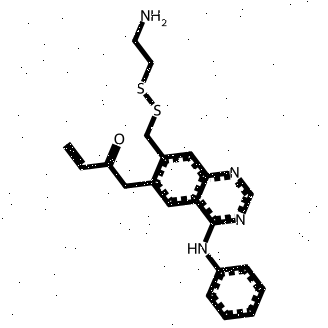 C=CC(=O)Cc1cc2c(Nc3ccccc3)ncnc2cc1CSSCCN